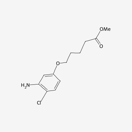 COC(=O)CCCCOc1ccc(Cl)c(N)c1